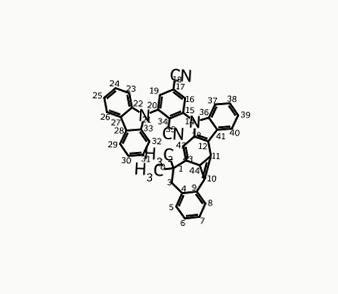 CC1(C)Cc2ccccc2C2=C3c4c(n(-c5cc(C#N)cc(-n6c7ccccc7c7ccccc76)c5C#N)c5ccccc45)C=C1C23